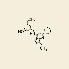 C\C=C/C=C(\C=N\O)CNc1cc(C2CCCCC2)nc2c(CC)cnn12